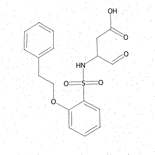 O=CC(CC(=O)O)NS(=O)(=O)c1ccccc1OCCc1ccccc1